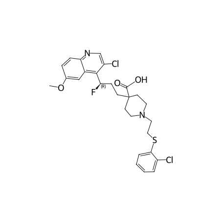 COc1ccc2ncc(Cl)c([C@H](F)CCC3(C(=O)O)CCN(CCSc4ccccc4Cl)CC3)c2c1